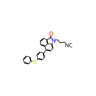 [C-]#[N+]CCCN1C(=O)c2cccc3c(-c4ccc(Sc5ccccc5)cc4)ccc1c23